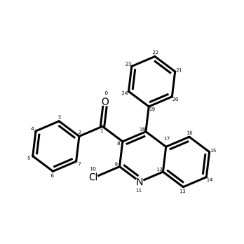 O=C(c1ccccc1)c1c(Cl)nc2ccccc2c1-c1ccccc1